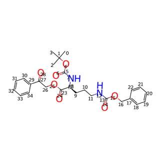 CC(C)(C)OC(=O)N[C@@H](CCCNC(=O)OCc1ccccc1)C(=O)OCC(=O)c1ccccc1